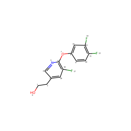 OCCc1cnc(Oc2ccc(F)c(F)c2)c(F)c1